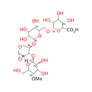 CO[C@@H]1C(CO)O[C@@H](OC2[C@H]3OC3OC[C@H]2O[C@H]2OC(CO[C@H]3OC(C(=O)O)[C@@H](O)C(O)C3O)[C@@H](O)C(O)C2O)[C@@H](O)C1O